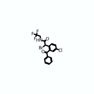 O=C(c1ccccc1)c1cc(Cl)ccc1C(Br)C(=O)NCC(F)(F)F